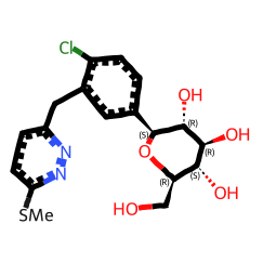 CSc1ccc(Cc2cc([C@@H]3O[C@H](CO)[C@@H](O)[C@H](O)[C@H]3O)ccc2Cl)nn1